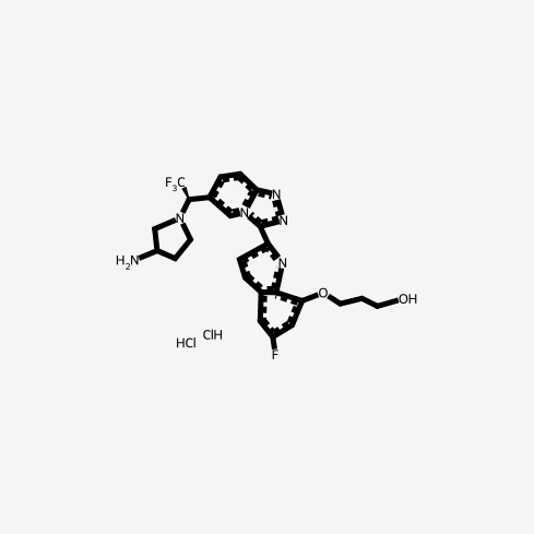 Cl.Cl.NC1CCN([C@H](c2ccc3nnc(-c4ccc5cc(F)cc(OCCCO)c5n4)n3c2)C(F)(F)F)C1